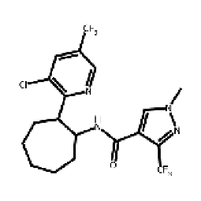 Cn1cc(C(=O)NC2CCCCCC2c2ncc(C(F)(F)F)cc2Cl)c(C(F)(F)F)n1